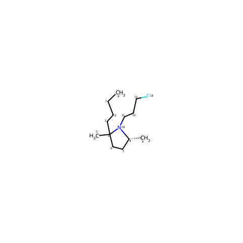 CCCCC1(C)CC[C@@H](C)N1CCCF